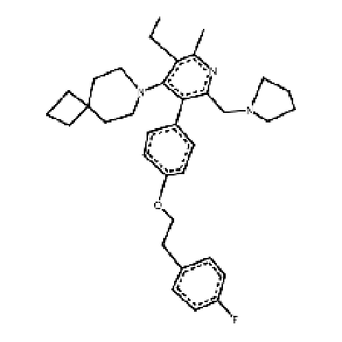 CCc1c(C)nc(CN2CCCC2)c(-c2ccc(OCCc3ccc(F)cc3)cc2)c1N1CCC2(CCC2)CC1